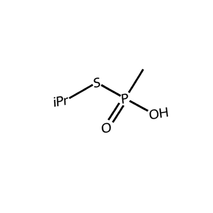 CC(C)SP(C)(=O)O